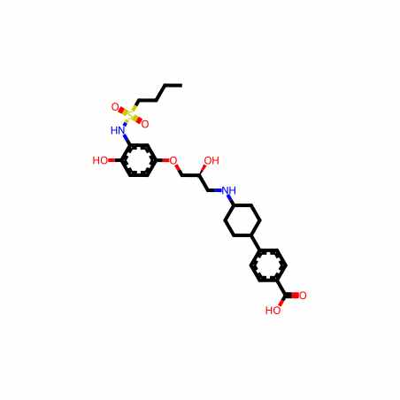 CCCCS(=O)(=O)Nc1cc(OC[C@@H](O)CNC2CCC(c3ccc(C(=O)O)cc3)CC2)ccc1O